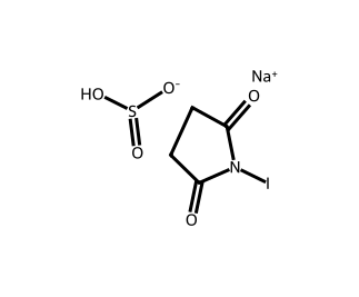 O=C1CCC(=O)N1I.O=S([O-])O.[Na+]